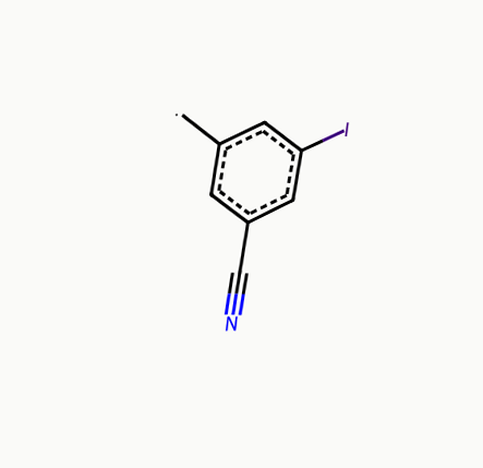 [CH2]c1cc(I)cc(C#N)c1